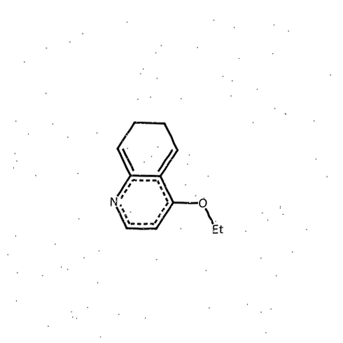 CCOc1ccnc2c1=CCCC=2